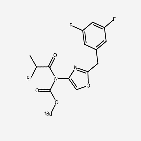 CC(Br)C(=O)N(C(=O)OC(C)(C)C)c1coc(Cc2cc(F)cc(F)c2)n1